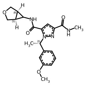 CNC(=O)c1cc(C(=O)NC2[C@H]3COC[C@@H]23)n([C@@H](C)c2cccc(OC)c2)n1